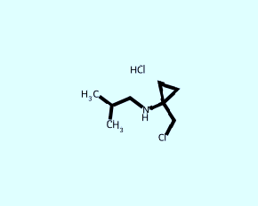 CC(C)CNC1(CCl)CC1.Cl